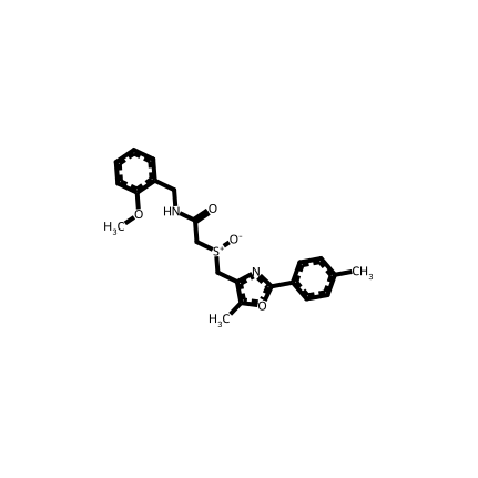 COc1ccccc1CNC(=O)C[S+]([O-])Cc1nc(-c2ccc(C)cc2)oc1C